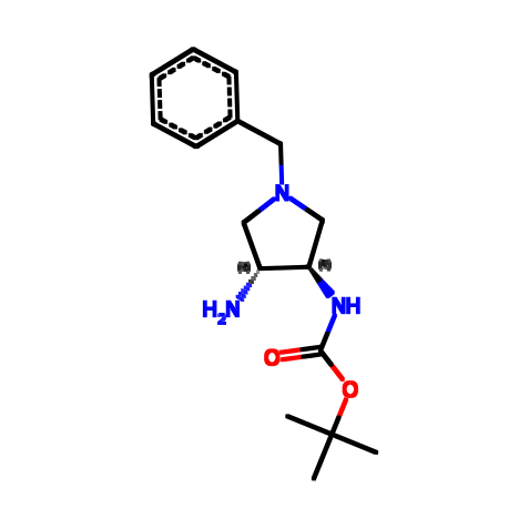 CC(C)(C)OC(=O)N[C@@H]1CN(Cc2ccccc2)C[C@H]1N